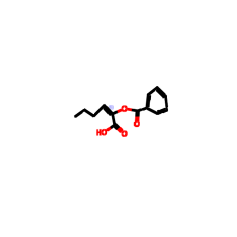 CCC/C=C(/OC(=O)c1ccccc1)C(=O)O